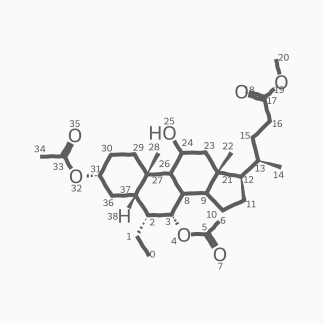 CC[C@H]1[C@@H](OC(C)=O)C2C3CC[C@H]([C@H](C)CCC(=O)OC)[C@@]3(C)CC(O)C2[C@@]2(C)CC[C@@H](OC(C)=O)C[C@@H]12